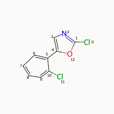 Clc1ncc(-c2ccccc2Cl)o1